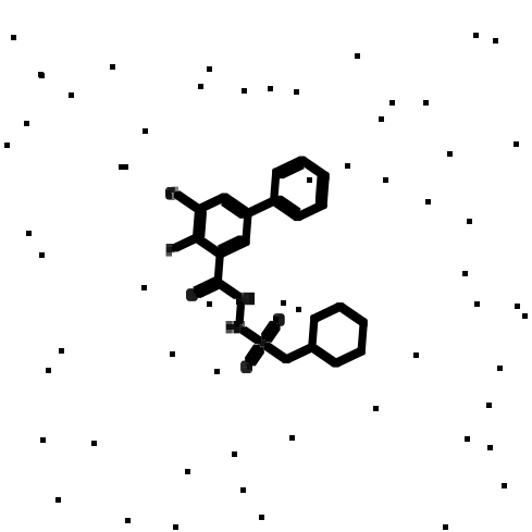 O=C(NNS(=O)(=O)CC1CCCCC1)c1cc(-c2ccccc2)cc(Cl)c1F